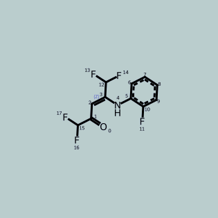 O=C(/C=C(\Nc1ccccc1F)C(F)F)C(F)F